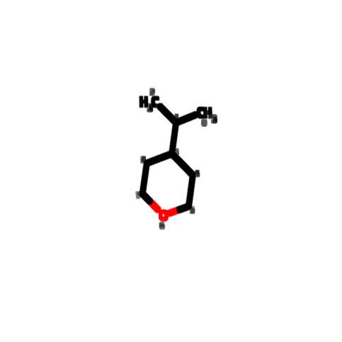 CC(C)[C]1CCOCC1